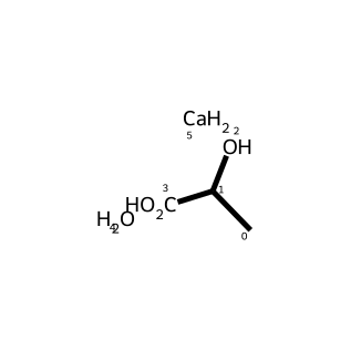 CC(O)C(=O)O.O.[CaH2]